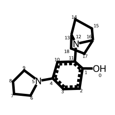 Oc1ccc(N2CCCC2)cc1N1C2CCC1CC2